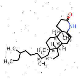 CCC(C)CCC[C@@H](C)[C@H]1CC[C@H]2[C@@H]3CC=C4NC(=O)CC[C@]4(C)[C@H]3CC[C@]12C